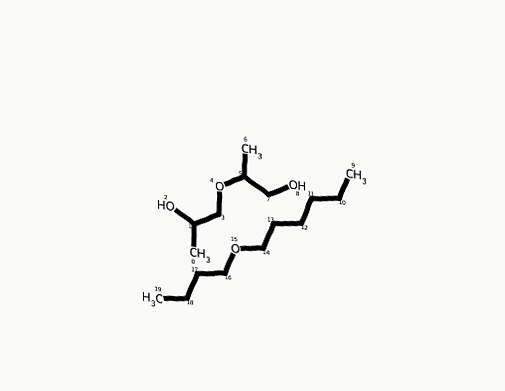 CC(O)COC(C)CO.CCCCCCOCCCC